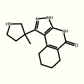 CC1(c2n[nH]c3[nH]c(=O)c4c(c23)CCCC4)CCNC1